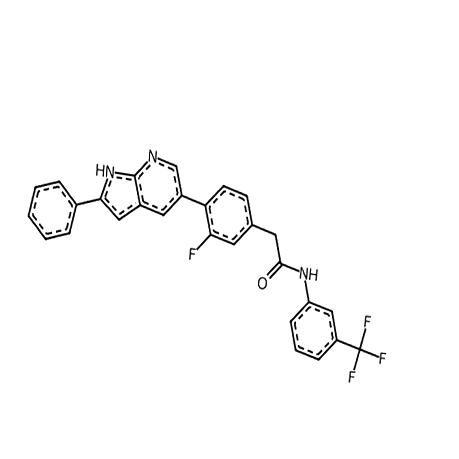 O=C(Cc1ccc(-c2cnc3[nH]c(-c4ccccc4)cc3c2)c(F)c1)Nc1cccc(C(F)(F)F)c1